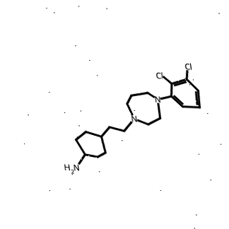 NC1CCC(CCN2CCCN(c3cccc(Cl)c3Cl)CC2)CC1